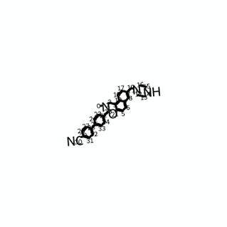 CN(Cc1cccc2cc(CN3CCNCC3)ccc12)C(=O)c1ccc(-c2ccc(C#N)cc2)cc1